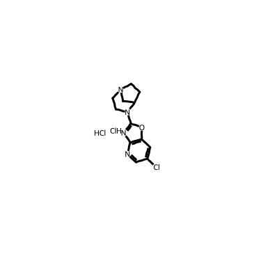 Cl.Cl.Clc1cnc2nc(N3CCN4CCC3C4)oc2c1